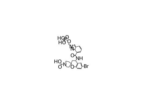 O=C(N[C@H]1CC2(CCN(C(=O)O)CC2)Oc2ccc(Br)cc21)c1cccc2cn(COP(=O)(O)O)nc12